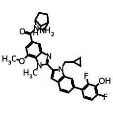 COc1cc(C(=O)N2CC3CCC2[C@@H]3N)cc2nc(-c3cc4ccc(-c5ccc(F)c(O)c5F)cc4n3CC3CC3)n(C)c12